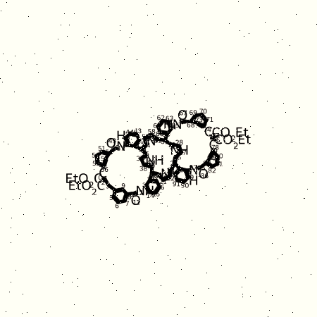 CCOC(=O)C1(C(=O)OCC)Cc2cccc(c2)C(=O)Nc2ccccc2/C2=C3\C=CC(=N3)/C3=C4/C=CC(N4)C(C4=N/C(=C(\c5ccc2[nH]5)c2ccccc2NC(=O)c2cccc(c2)C1)C=C4)c1ccccc1NC(=O)c1cccc(c1)CC(C(=O)OCC)(C(=O)OCC)Cc1cccc(c1)C(=O)Nc1ccccc13